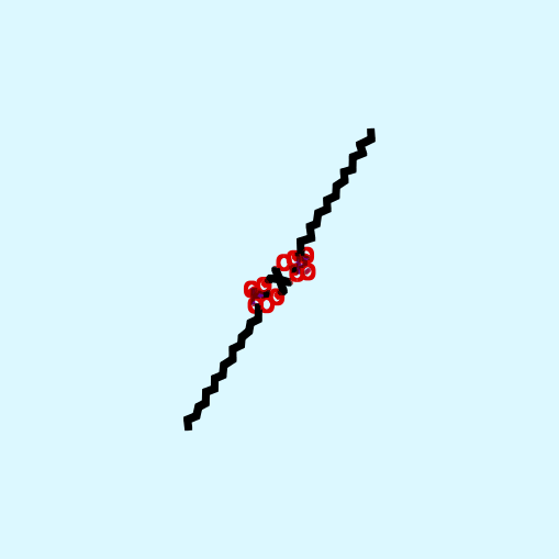 CCCCCCCCCCCCCCCCCCOC1(P(=O)=O)OCC2(CO1)COC(OCCCCCCCCCCCCCCCCCC)(P(=O)=O)OC2